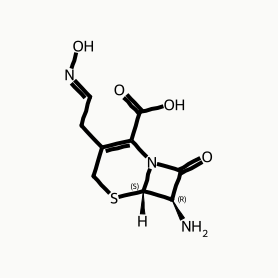 N[C@@H]1C(=O)N2C(C(=O)O)=C(CC=NO)CS[C@@H]12